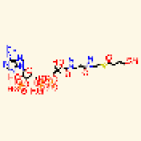 CC(C)(COP(=O)(O)OP(=O)(O)OC[C@H]1O[C@H](n2cnc3c(N)ncnc32)[C@H](O)[C@@H]1OP(=O)(O)O)[C@@H](O)C(=O)NCCC(=O)NCCSC(=O)CCCO